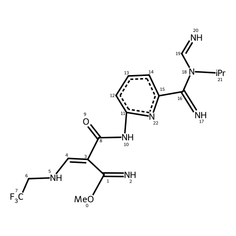 COC(=N)/C(=C\NCC(F)(F)F)C(=O)Nc1cccc(C(=N)N(C=N)C(C)C)n1